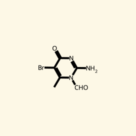 Cc1c(Br)c(=O)nc(N)n1C=O